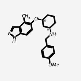 COc1ccc(CN[C@@H]2CCC[C@H](Oc3ccc4[nH]ncc4c3C)C2)cc1